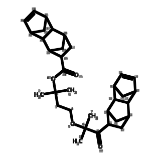 CC(C)(CCOC(C)(C)C(=O)C1CC2CC1C1C3C=CC(C3)C21)OC(=O)C1CC2CC1C1C3C=CC(C3)C21